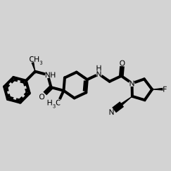 C[C@@H](NC(=O)C1(C)CC=C(NCC(=O)N2C[C@@H](F)C[C@H]2C#N)CC1)c1ccccc1